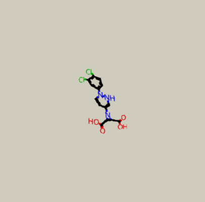 O=C(O)C1=C(C(=O)O)N1C1=CNN(c2ccc(Cl)c(Cl)c2)C=C1